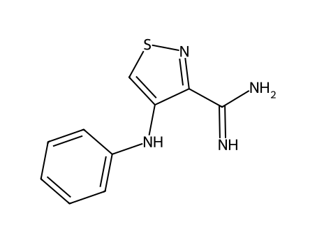 N=C(N)c1nscc1Nc1ccccc1